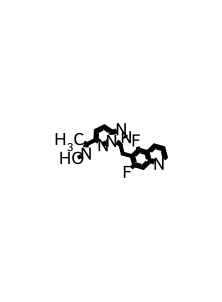 CC(=NO)c1ccc2nnc(Cc3c(F)cc4ncccc4c3F)n2n1